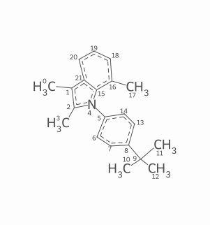 Cc1c(C)n(-c2ccc(C(C)(C)C)cc2)c2c(C)cccc12